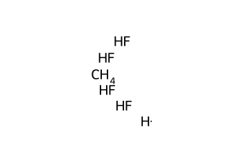 C.F.F.F.F.[H]